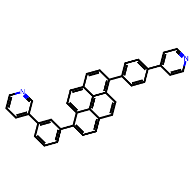 c1cncc(-c2cccc(-c3ccc4ccc5c(-c6ccc(-c7ccncc7)cc6)ccc6ccc3c4c65)c2)c1